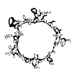 CCCC[C@H]1C(=O)N(C)[C@@H](CCCC)C(=O)N[C@@H](CC(C)C)C(=O)N[C@H](C(=O)NCC(N)=O)CNCC(=O)N[C@@H](Cc2ccc(O)cc2)C(=O)N(C)[C@@H](C)C(=O)N[C@@H](CC(N)=O)C(=O)N2CCC[C@H]2C(=O)N[C@@H](CCC(N)=O)C(=O)N[C@@H](CCC(=O)O)C(=O)N2C[C@H](O)C[C@H]2C(=O)N[C@@H](Cc2c[nH]c3ccccc23)C(=O)N[C@@H](CC(N)=O)C(=O)N[C@@H](Cc2cn(CC(=O)O)c3ccccc23)C(=O)N1C